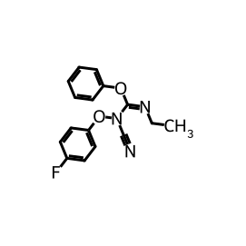 CCN=C(Oc1ccccc1)N(C#N)Oc1ccc(F)cc1